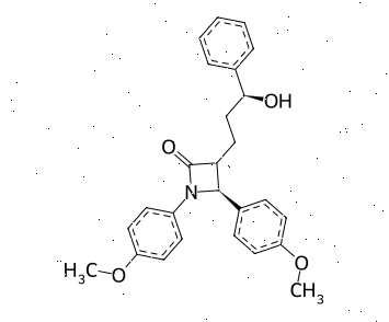 COc1ccc([C@@H]2C(CC[C@H](O)c3ccccc3)C(=O)N2c2ccc(OC)cc2)cc1